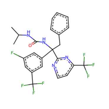 CC(C)NC(=O)NC(Cc1ccccc1)(c1cc(F)cc(C(F)(F)F)c1)c1nccc(C(F)(F)F)n1